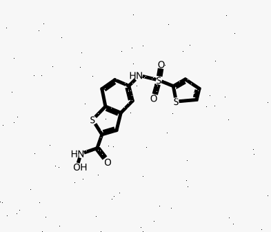 O=C(NO)c1cc2cc(NS(=O)(=O)c3cccs3)ccc2s1